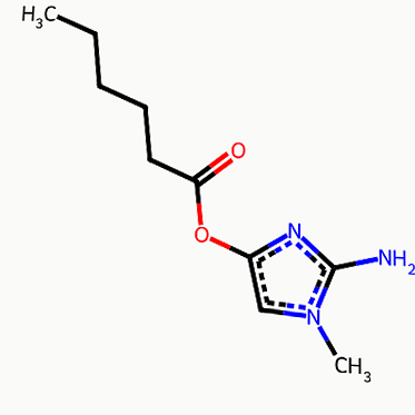 CCCCCC(=O)Oc1cn(C)c(N)n1